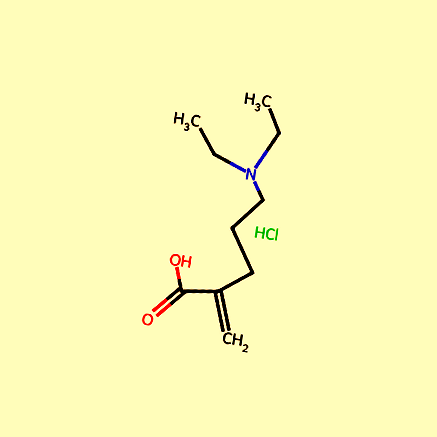 C=C(CCCN(CC)CC)C(=O)O.Cl